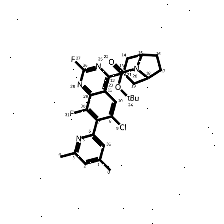 Cc1cc(C)nc(-c2c(Cl)cc3c(N4CC5CCC(C4)N5C(=O)OC(C)(C)C)nc(F)nc3c2F)c1